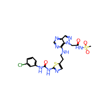 CS(=O)(=O)NC(=O)Cn1ncc2ncnc(NCCc3cnc(NC(=O)Nc4cccc(Cl)c4)s3)c21